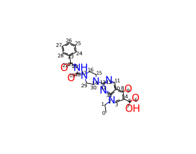 CCn1cc(C(=O)O)c(=O)c2cnc(N3CCN(C(=O)NC(=O)c4ccccc4)CC3)nc21